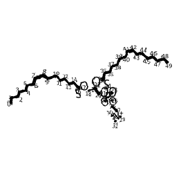 CCCCCCC/C=C\CCCCCCC(=S)OC[C@H](COP(=O)([O-])OCC[N+](C)(C)C)OC(=S)CCCCCC/C=C\CCCCCCC